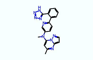 Cc1cc(N(C)c2ccc(-c3ccccc3-c3nnn[nH]3)nc2)n2nccc2n1